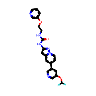 O=C(NCCOc1cccnc1)Nc1cc2cc(-c3cncc(OC(F)F)c3)ccn2n1